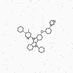 Cc1cc(-n2c3cc(Oc4cccc(-n5ccnc5)c4)ccc3c3c2c2ccccc2n3-c2ccccc2)ncc1-c1ccccc1